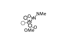 CNCCN(C)[C@H]1COc2ccccc2-c2c(C3CCCCC3)c3ccc(C(=O)OC)cc3n2C1